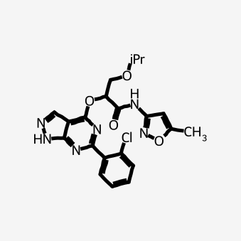 Cc1cc(NC(=O)C(COC(C)C)Oc2nc(-c3ccccc3Cl)nc3[nH]ncc23)no1